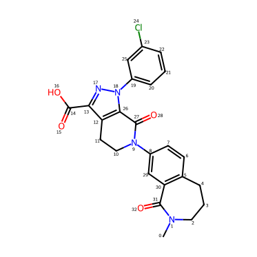 CN1CCCc2ccc(N3CCc4c(C(=O)O)nn(-c5cccc(Cl)c5)c4C3=O)cc2C1=O